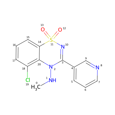 CNN1C(c2cccnc2)=NS(=O)(=O)c2cccc(Cl)c21